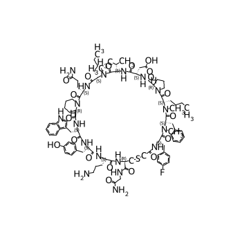 CCCC[C@H]1C(=O)N[C@@H](CCC(N)=O)C(=O)N2CCCC[C@@H]2C(=O)N[C@@H](Cc2c[nH]c3ccccc23)C(=O)N[C@@H](Cc2ccc(O)cc2)C(=O)N[C@@H](CCCN)C(=O)N[C@H](C(=O)NCC(N)=O)CSCC(=O)N[C@@H](Cc2ccc(F)cc2)C(=O)N(C)[C@@H](Cc2ccccc2)C(=O)N(C)[C@@H](CCCC)C(=O)N2CCC[C@@H]2C(=O)N[C@@H](CC(=O)O)C(=O)N[C@@H](C(C)C)C(=O)N1C